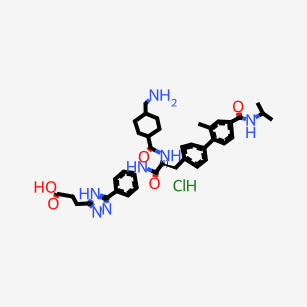 Cc1cc(C(=O)NC(C)C)ccc1-c1ccc(C[C@H](NC(=O)C2CCC(CN)CC2)C(=O)Nc2ccc(-c3nnc(CCC(=O)O)[nH]3)cc2)cc1.Cl